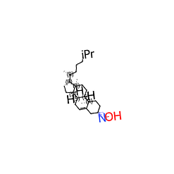 CC(C)CCC[C@@H](C)[C@H]1CC[C@H]2[C@@H]3CC=C4C/C(=N/O)CC[C@]4(C)[C@H]3CC[C@]12C